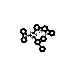 c1ccc(-c2ccc(-c3nc(-c4cccc5c4oc4c5ccc5c6ccccc6n(-c6ccccc6)c54)nc(-n4c5ccccc5c5ccccc54)n3)cc2)cc1